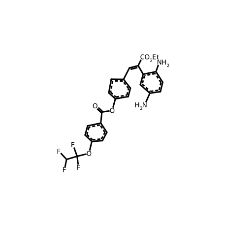 CCOC(=O)C(=Cc1ccc(OC(=O)c2ccc(OC(F)(F)C(F)F)cc2)cc1)c1cc(N)ccc1N